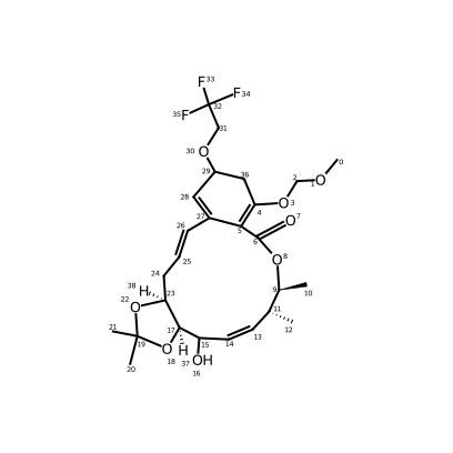 COCOC1=C2C(=O)O[C@@H](C)[C@H](C)/C=C\C(O)[C@H]3OC(C)(C)O[C@H]3C/C=C/C2=CC(OCC(F)(F)F)C1